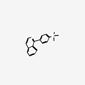 C[Si](C)(C)c1ccc(-c2nccc3ccccc23)cc1